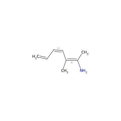 C=C/C=C\C(C)=C(/C)N